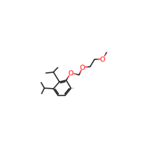 COCCOCOc1[c]ccc(C(C)C)c1C(C)C